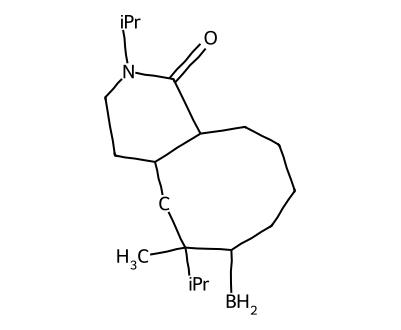 BC1CCCCC2C(=O)N(C(C)C)CCC2CC1(C)C(C)C